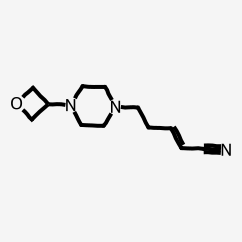 N#CC=CCCN1CCN(C2COC2)CC1